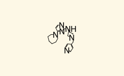 c1cc(CN2CC(Nc3nccc(N4CCCCCC4)n3)C2)ccn1